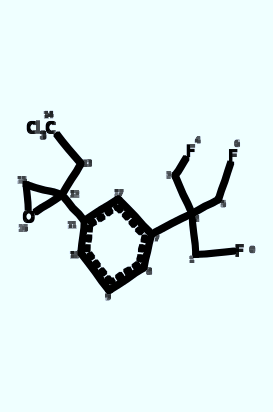 FCC(CF)(CF)c1cccc(C2(CC(Cl)(Cl)Cl)CO2)c1